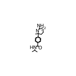 CC(C)NC(=O)c1ccc(C2(C)CCSC(N)=N2)cc1